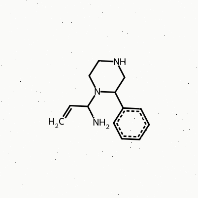 C=CC(N)N1CCNCC1c1ccccc1